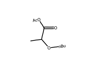 CCCCOC(C)C(=O)OC(C)=O